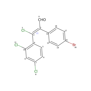 O=C/C(=C(\Cl)c1ccc(Cl)cc1Cl)c1ccc(Br)cc1